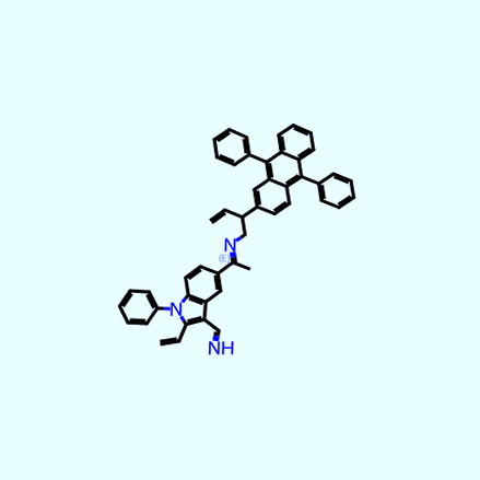 C=Cc1c(C=N)c2cc(/C(C)=N/CC(C=C)c3ccc4c(-c5ccccc5)c5ccccc5c(-c5ccccc5)c4c3)ccc2n1-c1ccccc1